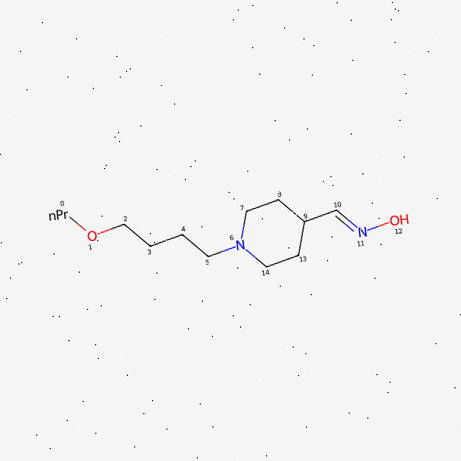 CCCOCCCCN1CCC(C=NO)CC1